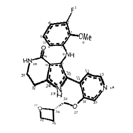 COc1c(F)cccc1Nc1c(-c2ccncc2OC[C@@H]2CCO2)[nH]c2c1C(=O)NCC2